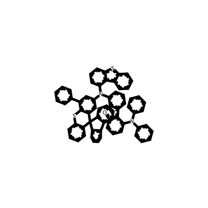 c1ccc(-c2cc(N(c3cccc4c3oc3cccc(N(c5ccccc5)c5ccccc5)c34)c3cccc4sc5ccccc5c34)cc3c2Sc2ccccc2C32c3ccccc3-c3ccccc32)cc1